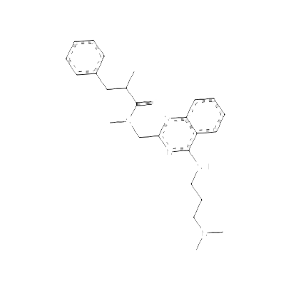 CC(Cc1ccccc1)C(=O)N(C)Cc1nc(NCCCN(C)C)c2ccccc2n1